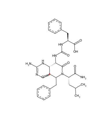 CC(C)C[C@@H](C(N)=O)N(C(=O)C(NC(=O)N[C@@H](Cc1ccccc1)C(=O)O)[C@@H]1CCN=C(N)N1)C(C=O)Cc1ccccc1